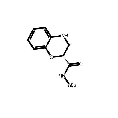 CCCCNC(=O)[C@H]1CNc2ccccc2O1